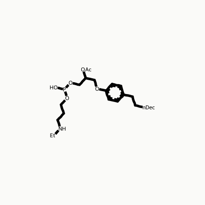 CCCCCCCCCCCCc1ccc(OCC(COP(O)OCCCNCC)OC(C)=O)cc1